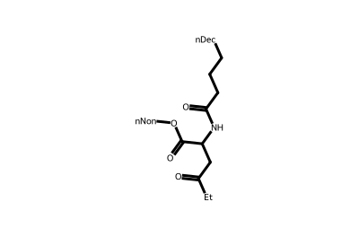 CCCCCCCCCCCCCC(=O)NC(CC(=O)CC)C(=O)OCCCCCCCCC